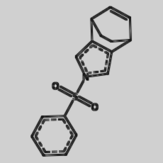 O=S(=O)(c1ccccc1)n1cc2c(c1)C1C=CC2CC1